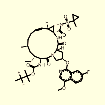 CC[C@@H]1C[C@@H](C)CC/C=C\[C@@H]2C[C@@]2(C(=O)NS(=O)(=O)C2(C)CC2)NC(=O)[C@@H]2C[C@@H](Oc3ncc(OC)c4ccc(F)cc34)CN2C(=O)[C@H]1NC(=O)OC(C)(C)C(C)(F)F